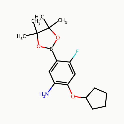 CC1(C)OB(c2cc(N)c(OC3CCCC3)cc2F)OC1(C)C